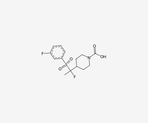 CC(F)(C1CCN(C(=O)O)CC1)S(=O)(=O)c1cccc(F)c1